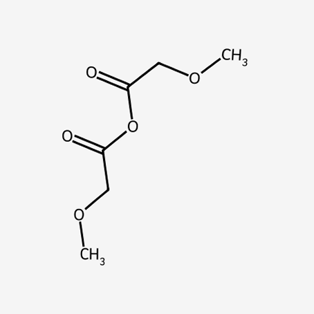 COCC(=O)OC(=O)COC